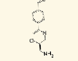 C=C(/N=C\C(Cl)=C/N)c1ccc(C=O)cc1